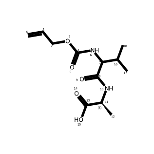 C=CCOC(=O)NC(C(=O)N[C@@H](C)C(=O)O)C(C)C